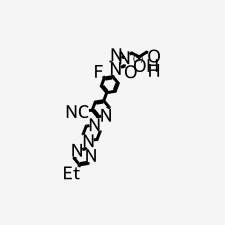 CCc1cnc(N2CCN(c3ncc(-c4ccc(-n5cnn(C[C@H](O)CO)c5=O)c(F)c4)cc3C#N)CC2)nc1